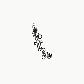 O=C(CNC(=O)c1cccnc1)CN1CCN(c2c(F)cc(N3C[C@H](Cn4cc(CF)nn4)OC3=O)cc2F)CC1